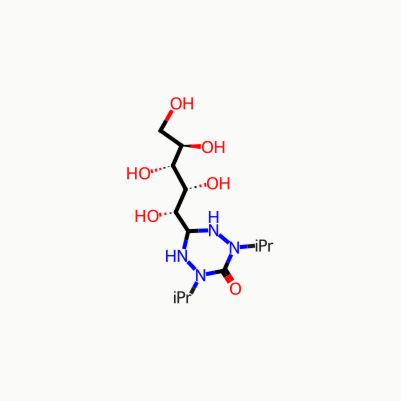 CC(C)N1NC([C@H](O)[C@@H](O)[C@H](O)[C@H](O)CO)NN(C(C)C)C1=O